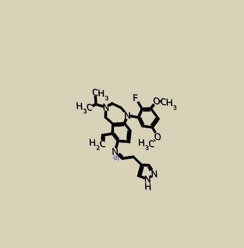 C=Cc1c(/N=C\Cc2cn[nH]c2)ccc2c1CN(C(C)C)CCN2c1cc(OC)cc(OC)c1F